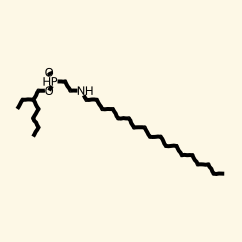 CCCCCCCCCCCCCCCCCCNCC[PH](=O)OCC(CC)CCCC